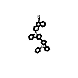 N#Cc1cc2ccc(-n3c4ccccc4c4cc(-c5ccc6c7ccccc7n(-c7ccccc7)c6c5)ccc43)cc2c2ccccc12